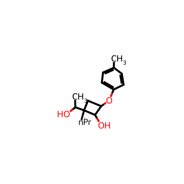 CCCC1(C(C)O)CC(Oc2ccc(C)cc2)C1O